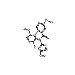 COc1nnc(NC(=O)c2cc(OC(C)C)ncc2-c2cc(Cl)ncc2OC)s1